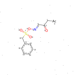 CC(=O)CC(=O)/C=N/OS(=O)(=O)Cc1ccccc1